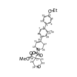 CCOc1ccc(-c2ccc(C3=CCN(S(=O)(=O)C4(C(=O)OC)CCOCC4)CC3)cc2C)cc1